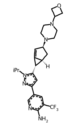 CC(C)n1nc(-c2cnc(N)c(C(F)(F)F)c2)cc1[C@@H]1C2=C[C@@H](N3CCN(C4COC4)CC3)C[C@H]21